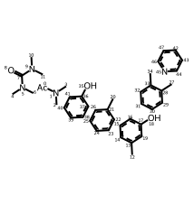 CC(=O)N(C)C.CN(C)C(=O)N(C)C.Cc1cccc(O)c1.Cc1ccccc1.Cc1ccccc1C.Oc1ccccc1.c1ccncc1